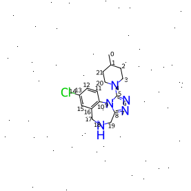 CC1CCN(c2nnc3n2-c2ccc(Cl)cc2CNC3)CC1